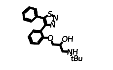 CC(C)(C)NCC(O)COc1ccccc1-c1nnsc1-c1ccccc1